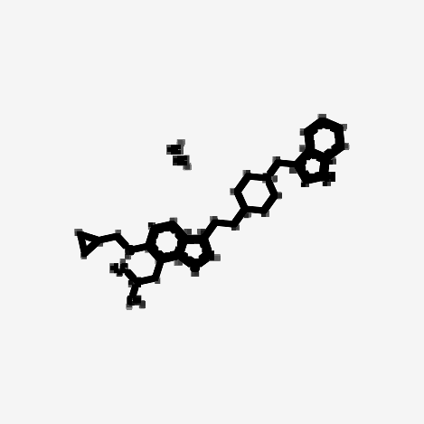 CN(C)Cc1c(OCC2CC2)ccc2c(CCC3CCN(Cc4c[nH]c5ccccc45)CC3)noc12.Cl.Cl